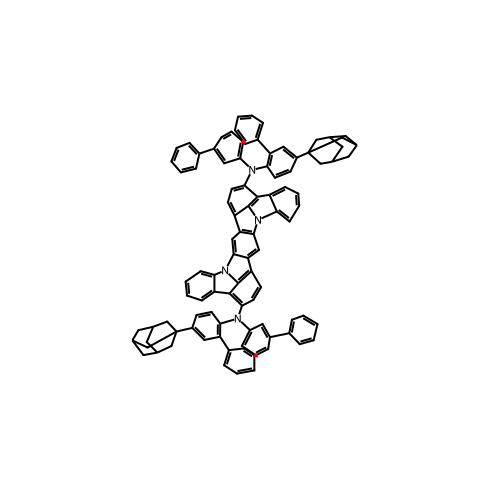 c1ccc(-c2cccc(N(c3ccc(C45CC6CC(CC(C6)C4)C5)cc3-c3ccccc3)c3ccc4c5cc6c(cc5n5c7ccccc7c3c45)c3ccc(N(c4cccc(-c5ccccc5)c4)c4ccc(C57CC8CC(CC(C8)C5)C7)cc4-c4ccccc4)c4c5ccccc5n6c34)c2)cc1